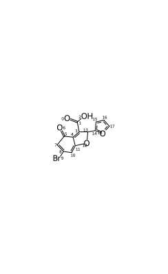 O=C(O)C1=C2C(=O)C=C(Br)C=C2OC1c1ccco1